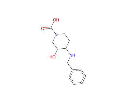 O=C(O)N1CCC(NCc2ccccc2)C(O)C1